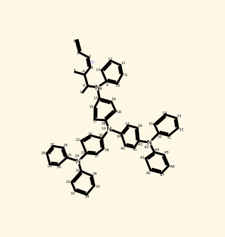 C=C/C=C\C(C)C(C)N(c1ccccc1)c1ccc(N(c2ccc(N(c3ccccc3)c3ccccc3)cc2)c2ccc(N(c3ccccc3)c3ccccc3)cc2)cc1